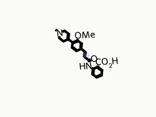 COc1cc(/C=C/C(=O)Nc2ccccc2C(=O)O)ccc1C1=CCN(C)CC1